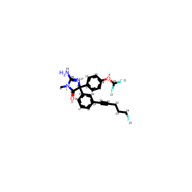 CN1C(=O)C(c2ccc(OC(F)F)cc2)(c2cccc(C#CCCCF)c2)N=C1N